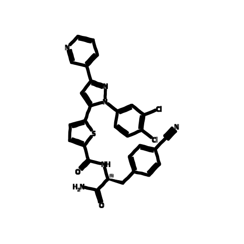 N#Cc1ccc(C[C@H](NC(=O)c2ccc(-c3cc(-c4cccnc4)nn3-c3ccc(Cl)c(Cl)c3)s2)C(N)=O)cc1